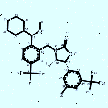 CO[C@@H](c1ccc(C(F)(F)F)cc1CN1C(=O)O[C@H](c2cc(C)cc(C(F)(F)F)c2)[C@@H]1C)C1CCCCC1